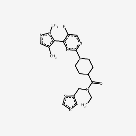 CCN(Cc1cncs1)C(=O)C1CCN(c2ncc(F)c(-c3c(C)cnn3C)n2)CC1